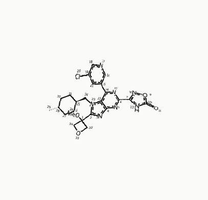 COC1(c2nc3nc(-c4noc(=O)[nH]4)nc(-c4cncc(Cl)c4)c3n2C[C@H]2CC[C@H](C)CC2)COC1